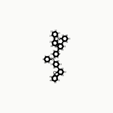 c1ccc(N(c2ccc(-c3ccc(-c4ccccc4-n4c5ccccc5c5ccccc54)cc3)cc2)c2ccc(-c3cccc4c3oc3ccccc34)cc2)cc1